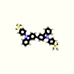 CS(C)(C)c1ccc(-n2c3ccccc3c3cc(-c4ccc5c(c4)c4ccccc4n5-c4ccc(S(C)(C)C)cc4)ccc32)cc1